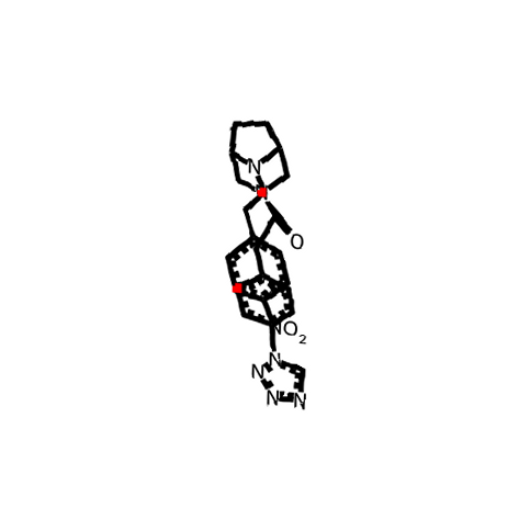 O=C(Cc1ccc(-n2cnnn2)cc1)N1CC2CCC(C1)N2CCc1ccc([N+](=O)[O-])cc1